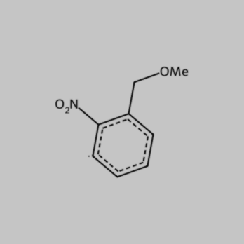 COCc1ccc[c]c1[N+](=O)[O-]